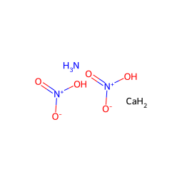 N.O=[N+]([O-])O.O=[N+]([O-])O.[CaH2]